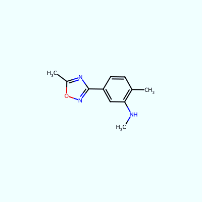 CNc1cc(-c2noc(C)n2)ccc1C